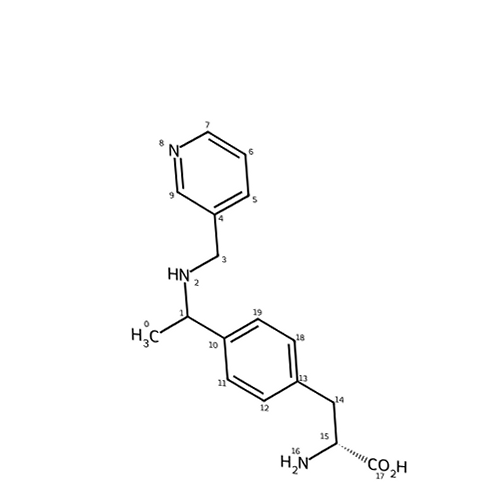 CC(NCc1cccnc1)c1ccc(C[C@@H](N)C(=O)O)cc1